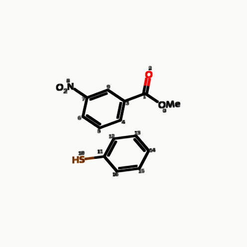 COC(=O)c1cccc([N+](=O)[O-])c1.Sc1ccccc1